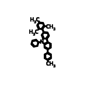 Cc1ccc(-c2ccc3c4ccc(-c5c(C)cc(C)cc5C)cc4n(C4C=CC=CC4)c3c2)cc1